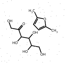 Cc1ccc(C)o1.O=C(CO)C(O)C(O)C(O)CO